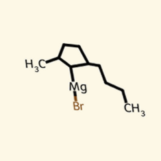 CCCCC1CCC(C)[CH]1[Mg][Br]